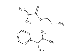 C=C(C)C(=O)OCCN.C=CC(c1ccccc1)N(C)C